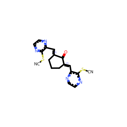 N#CSc1nccnc1/C=C1\CCC/C(=C\c2nccnc2SC#N)C1=O